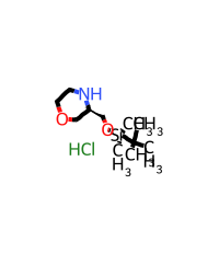 CC(C)(C)[Si](C)(C)OC[C@H]1COCCN1.Cl